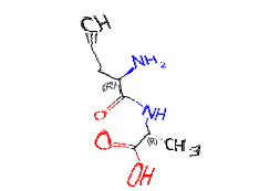 C#CC[C@@H](N)C(=O)N[C@H](C)C(=O)O